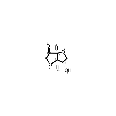 O=C1CO[C@H]2[C@@H]1OC[C@@H]2O